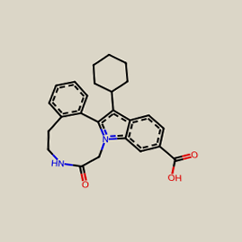 O=C1Cn2c(c(C3CCCCC3)c3ccc(C(=O)O)cc32)-c2ccccc2CCN1